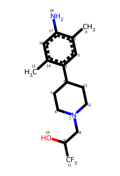 Cc1cc(C2CCN(CC(O)C(F)(F)F)CC2)c(C)cc1N